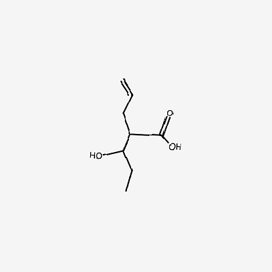 C=CCC(C(=O)O)C(O)CC